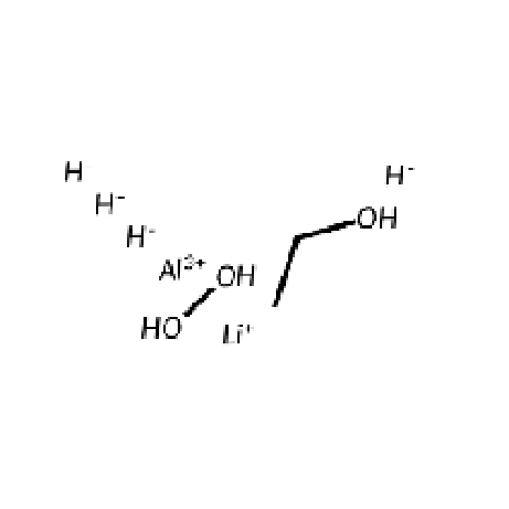 CCO.OO.[Al+3].[H-].[H-].[H-].[H-].[Li+]